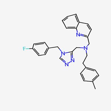 Cc1ccc(CCN(Cc2ccc3ccccc3n2)Cc2nncn2Cc2ccc(F)cc2)cc1